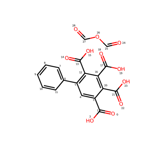 O=C(O)c1cc(-c2ccccc2)c(C(=O)O)c(C(=O)O)c1C(=O)O.O=COC=O